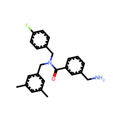 Cc1cc(C)cc(CN(Cc2ccc(F)cc2)C(=O)c2cccc(CN)c2)c1